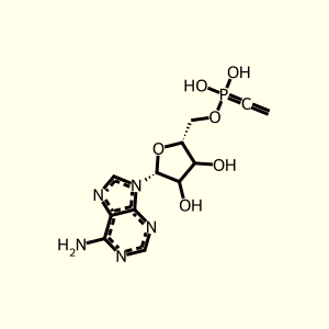 C=C=P(O)(O)OC[C@H]1O[C@@H](n2cnc3c(N)ncnc32)C(O)C1O